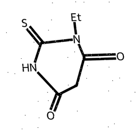 CCN1C(=O)CC(=O)NC1=S